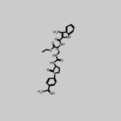 CCOC(=O)[C@H](CNC(=O)NC1CCN(c2ccc(C(=N)N)cc2)C1=O)NC(=O)c1[nH]c2ccccc2c1N